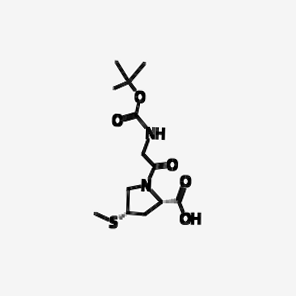 CS[C@H]1C[C@@H](C(=O)O)N(C(=O)CNC(=O)OC(C)(C)C)C1